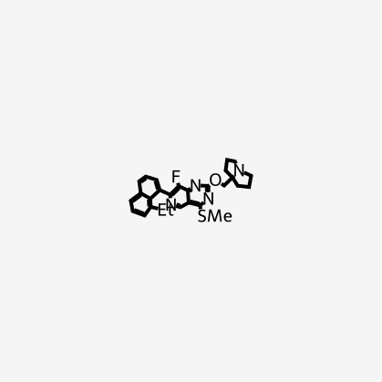 CCc1cccc2cccc(-c3ncc4c(SC)nc(OCC56CCCN5CCC6)nc4c3F)c12